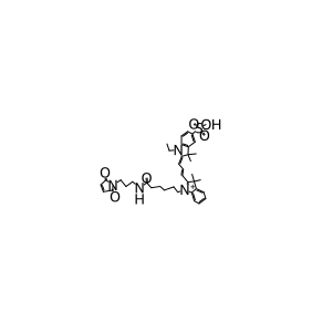 CCN1/C(=C/C=C/C2=[N+](CCCCCC(=O)NCCCN3C(=O)C=CC3=O)c3ccccc3C2(C)C)C(C)(C)c2cc(S(=O)(=O)O)ccc21